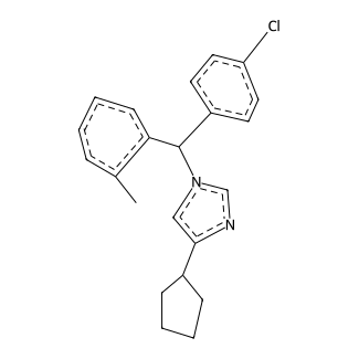 Cc1ccccc1C(c1ccc(Cl)cc1)n1cnc(C2CCCC2)c1